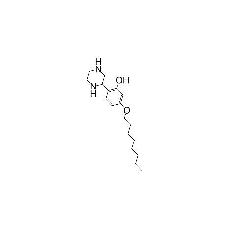 CCCCCCCCOc1ccc(C2CNCCN2)c(O)c1